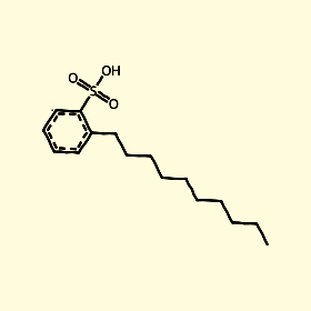 CCCCCCCCCCc1ccc[c]c1S(=O)(=O)O